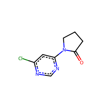 O=C1CCCN1c1cc(Cl)ncn1